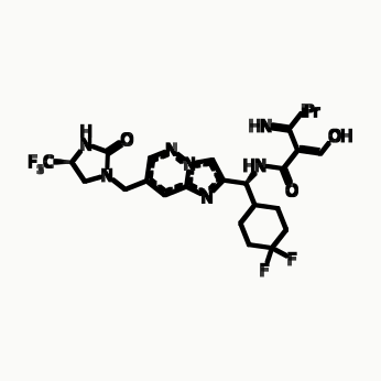 CC(C)C(=N)/C(=C\O)C(=O)N[C@H](c1cn2ncc(CN3C[C@@H](C(F)(F)F)NC3=O)cc2n1)C1CCC(F)(F)CC1